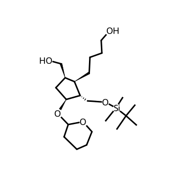 CC(C)(C)[Si](C)(C)OC[C@H]1[C@H](CCCCO)[C@H](CO)C[C@@H]1OC1CCCCO1